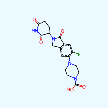 O=C1CCC(N2Cc3cc(N4CCN(C(=O)O)CC4)c(F)cc3C2=O)C(=O)N1